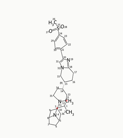 CC(C)CN1C2CCC1CC(N1CCC([C@H]3CCc4nc(-c5ccc(S(C)(=O)=O)cc5)cn4C3)CC1)C2